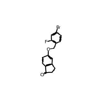 O=C1CCc2cc(OCc3ccc(Br)cc3F)ccc21